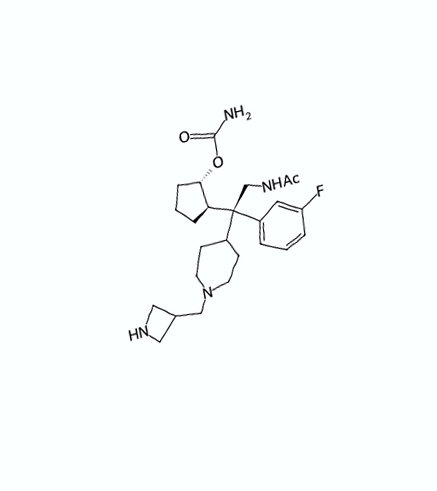 CC(=O)NC[C@@](c1cccc(F)c1)(C1CCN(CC2CNC2)CC1)[C@H]1CCC[C@@H]1OC(N)=O